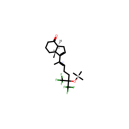 C/C(=C\CCC(O[Si](C)(C)C)(C(F)(F)F)C(F)(F)F)C1=CC[C@@H]2C(=O)CCC[C@@]12C